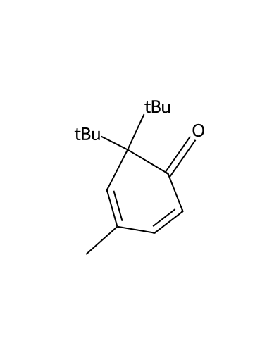 CC1=CC(C(C)(C)C)(C(C)(C)C)C(=O)C=C1